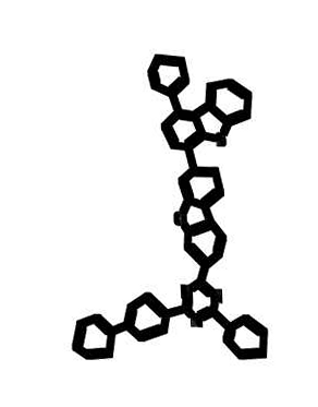 c1ccc(-c2ccc(-c3nc(-c4ccccc4)nc(-c4ccc5c(c4)oc4cc(-c6ccc(-c7ccccc7)c7c6sc6ccccc67)ccc45)n3)cc2)cc1